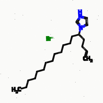 C=CCCC(CCCCCCCCCCCCC)[n+]1cc[nH]c1.[Br-]